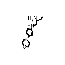 CC[C@@H](N)CNc1ccc(N2CCOCC2)cc1